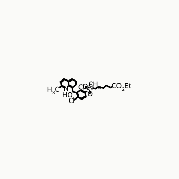 CCOC(=O)CCCCCN(C)S(=O)(=O)c1ccc(Cl)c(C(O)c2cccc3ccc(C)nc23)c1Cl